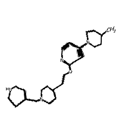 CC1CCN(c2ccnc(OCCC3CCN(CC4CCNCC4)CC3)c2)CC1